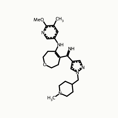 COc1ncc(NC2=C(C(=N)c3cnn(CC4CCN(C)CC4)c3)CCOCC2)cc1C